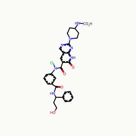 O=C(O)NC1CCN(c2ncc3cc(C(=O)N(Cl)c4cccc(C(=O)NC(CCO)c5ccccc5)c4)c(=O)[nH]c3n2)CC1